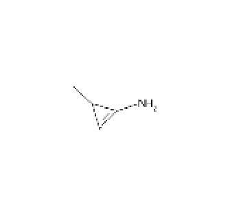 CC1C=C1N